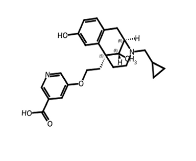 C[C@H]1[C@H]2Cc3ccc(O)cc3[C@]1(CCOc1cncc(C(=O)O)c1)CCN2CC1CC1